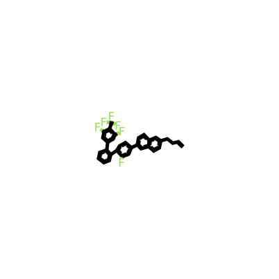 C=CCCc1ccc2cc(-c3ccc(-c4ccccc4-c4cc(F)c(C(F)(F)F)c(F)c4)c(F)c3)ccc2c1